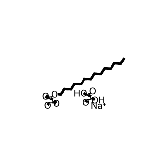 CCCCCCCCCCCCCCOS(=O)(=O)[O-].O=S(=O)(O)O.[Na+]